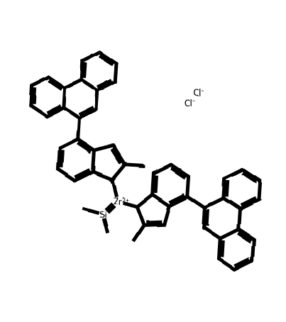 CC1=Cc2c(-c3cc4ccccc4c4ccccc34)cccc2[CH]1[Zr+2]([CH]1C(C)=Cc2c(-c3cc4ccccc4c4ccccc34)cccc21)=[Si](C)C.[Cl-].[Cl-]